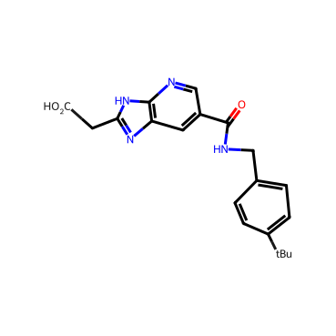 CC(C)(C)c1ccc(CNC(=O)c2cnc3[nH]c(CC(=O)O)nc3c2)cc1